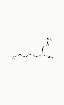 CCCCCC(C)COC